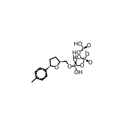 Cc1ccc([C@H]2CC[C@@H](COP(=O)(O)OP(=O)(O)OP(=O)(O)O)O2)cc1